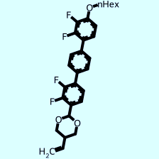 C=CC1COC(c2ccc(-c3ccc(-c4ccc(OCCCCCC)c(F)c4F)cc3)c(F)c2F)OC1